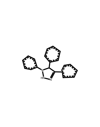 c1ccc(C2=NNN(c3ccccc3)C2c2ccccc2)cc1